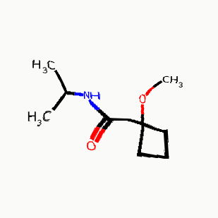 COC1(C(=O)NC(C)C)CCC1